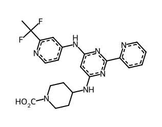 CC(F)(F)c1cc(Nc2cc(NC3CCN(C(=O)O)CC3)nc(-c3ccccn3)n2)ccn1